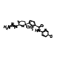 CC1(c2ccc(C(=O)Nc3ccc(Cl)cn3)s2)CCSC(N=NN)=N1